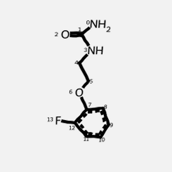 NC(=O)NCCOc1ccccc1F